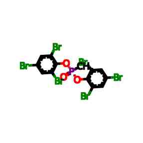 CP(=O)(Oc1c(Br)cc(Br)cc1Br)Oc1c(Br)cc(Br)cc1Br